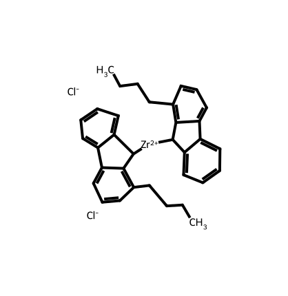 CCCCc1cccc2c1[CH]([Zr+2][CH]1c3ccccc3-c3cccc(CCCC)c31)c1ccccc1-2.[Cl-].[Cl-]